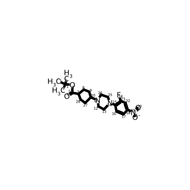 CC(C)(C)OC(=O)C1CCC(N2CCN(c3ccc([N+](=O)[O-])cc3F)CC2)CC1